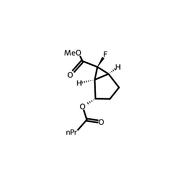 CCCC(=O)O[C@H]1CC[C@H]2[C@@H]1[C@]2(F)C(=O)OC